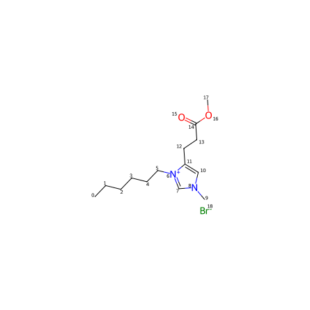 CCCCCC[n+]1cn(C)cc1CCC(=O)OC.[Br-]